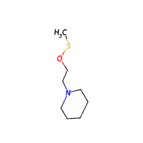 CSOCCN1CCCCC1